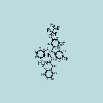 N[C@@H](CN[C@](Cc1ccccc1)(c1ccc(F)cc1)c1cc(F)cc(OC(F)(F)C(F)F)c1)Cc1ccccc1